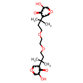 CC(C)(CCOCCOCCC(C)(C)c1cocc(O)c1=O)c1cocc(O)c1=O